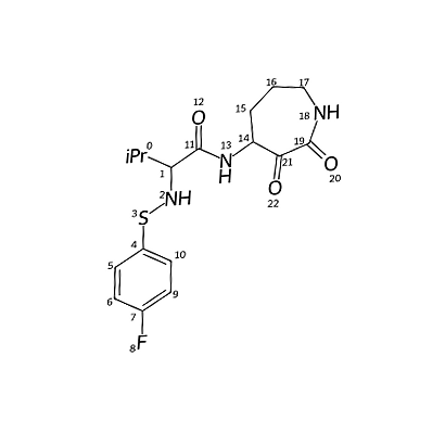 CC(C)C(NSc1ccc(F)cc1)C(=O)NC1CCCNC(=O)C1=O